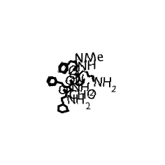 CN[C@@H](Cc1ccccc1)C(=O)N[C@@H](CCCCN)C(=O)N1CCC[C@H]1C(=O)C(CCc1ccccc1)C(N)([C]=O)C(=O)[C@H](N)CC1CCCCC1